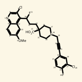 COc1ccc2ncc(Cl)c(C(F)CCC3(C(=O)O)CCN(CC#Cc4ccc(F)c(Cl)c4)CC3)c2c1